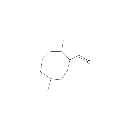 CC1CCCC(C)C(C=O)CC1